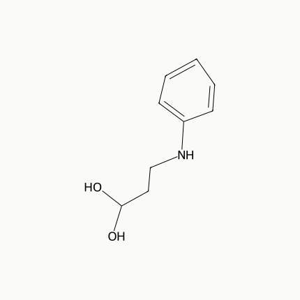 OC(O)CCNc1ccccc1